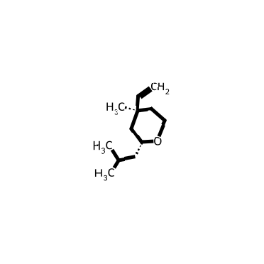 C=C[C@@]1(C)CCO[C@H](CC(C)C)C1